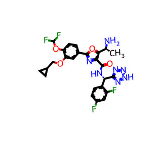 C[C@H](N)c1oc(-c2ccc(OC(F)F)c(OCC3CC3)c2)nc1C(=O)N[C@H](c1nn[nH]n1)c1ccc(F)cc1F